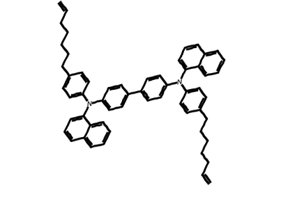 C=CCCCCCc1ccc(N(c2ccc(-c3ccc(N(c4ccc(CCCCCC=C)cc4)c4cccc5ccccc45)cc3)cc2)c2cccc3ccccc23)cc1